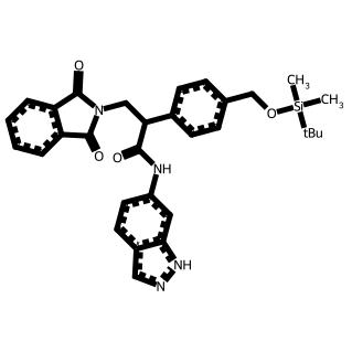 CC(C)(C)[Si](C)(C)OCc1ccc(C(CN2C(=O)c3ccccc3C2=O)C(=O)Nc2ccc3cn[nH]c3c2)cc1